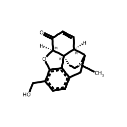 CN1CC[C@]23c4c5ccc(CO)c4O[C@H]2C(=O)C=C[C@H]3C1C5